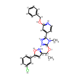 C[C@@H](Oc1nnc(-c2ccnc(OCc3ccccc3)c2)n1C)c1cc(-c2cccc(Cl)c2)on1